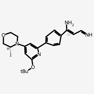 C[C@@H]1COCCN1c1cc(OC(C)(C)C)nc(-c2ccc(/C(N)=C/C=N)cc2)c1